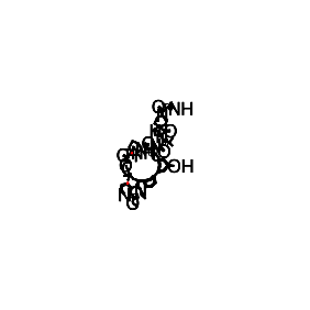 CCn1c(-c2cccnc2[C@H](C)OC)c2c3cc(ccc31)-c1cc(O)cc(c1)C[C@H](NC(=O)[C@H](C(C)C)N1CCC3(CCN(C(=O)[C@H]4CN4)CC3)C1=O)C(=O)N1CCC[C@H](N1)C(=O)OCC(C)(C)C2